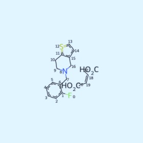 Fc1ccccc1CN1CCc2sccc2C1.O=C(O)/C=C\C(=O)O